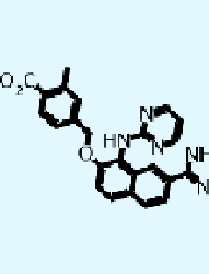 Cc1cc(COc2ccc3ccc(C(=N)N)cc3c2Nc2ncccn2)ccc1C(=O)O